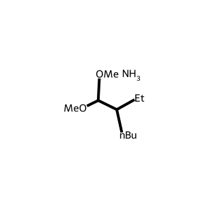 CCCCC(CC)C(OC)OC.N